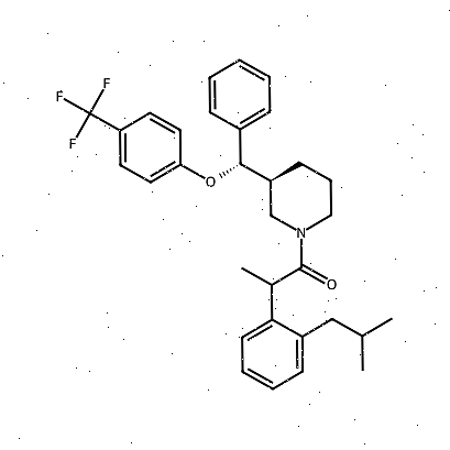 CC(C)Cc1ccccc1C(C)C(=O)N1CCC[C@H]([C@H](Oc2ccc(C(F)(F)F)cc2)c2ccccc2)C1